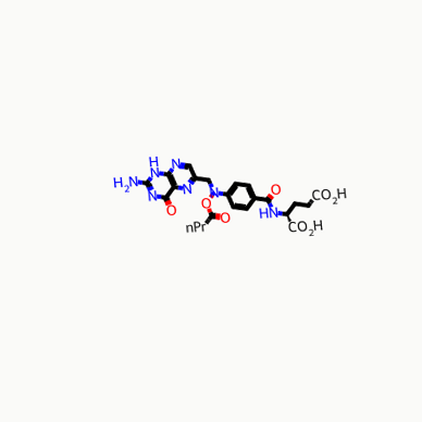 CCCC(=O)ON(Cc1cnc2[nH]c(N)nc(=O)c2n1)c1ccc(C(=O)N[C@@H](CCC(=O)O)C(=O)O)cc1